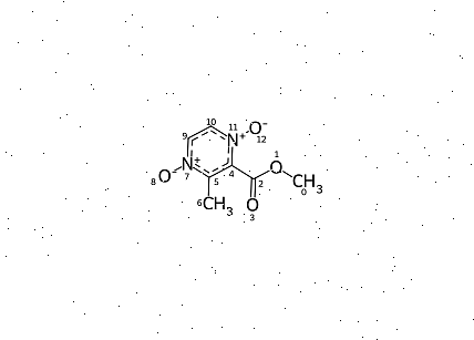 COC(=O)c1c(C)[n+]([O-])cc[n+]1[O-]